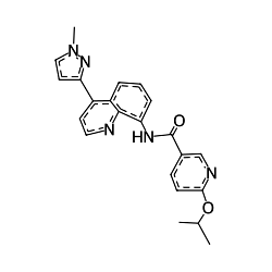 CC(C)Oc1ccc(C(=O)Nc2cccc3c(-c4ccn(C)n4)ccnc23)cn1